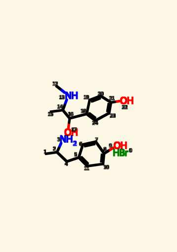 Br.CC(N)Cc1ccc(O)cc1.CNC(C)C(O)c1ccc(O)cc1